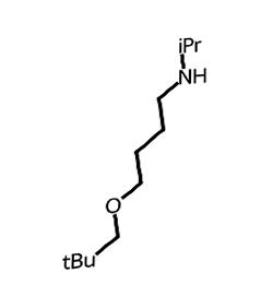 CC(C)NCCCCOCC(C)(C)C